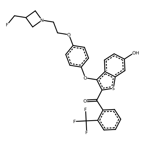 O=C(c1ccccc1C(F)(F)F)c1sc2cc(O)ccc2c1Oc1ccc(OCCN2CC(CF)C2)cc1